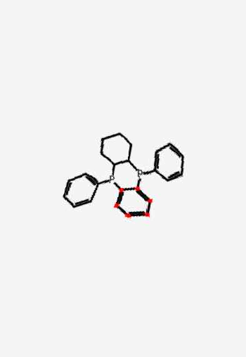 c1ccc(P(c2ccccc2)C2CCCCC2P(c2ccccc2)c2ccccc2)cc1